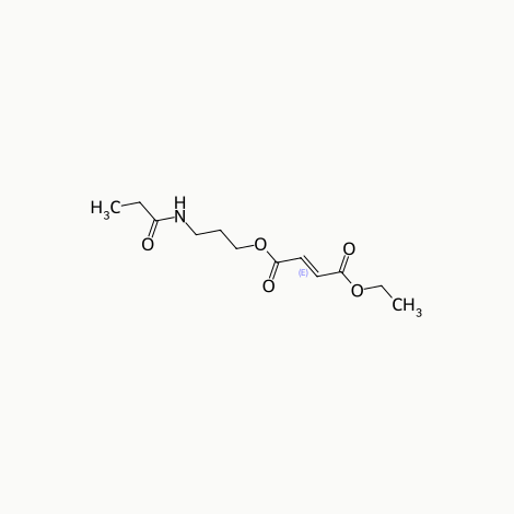 CCOC(=O)/C=C/C(=O)OCCCNC(=O)CC